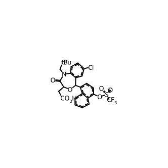 CC(C)(C)CN1C(=O)C(CC(=O)O)OC(c2ccc(OS(=O)(=O)C(F)(F)F)c3ccccc23)c2cc(Cl)ccc21